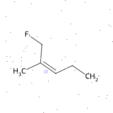 [CH2]C/C=C(/C)CF